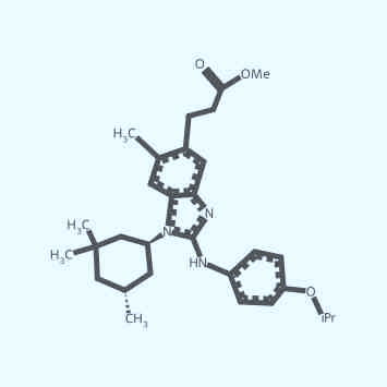 COC(=O)CCc1cc2nc(Nc3ccc(OC(C)C)cc3)n([C@H]3C[C@H](C)CC(C)(C)C3)c2cc1C